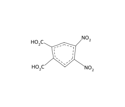 O=C(O)c1cc([N+](=O)[O-])c([N+](=O)[O-])cc1C(=O)O